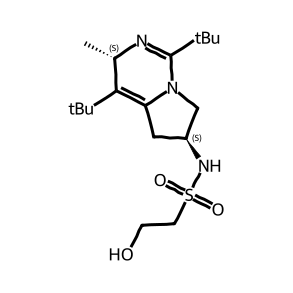 C[C@@H]1N=C(C(C)(C)C)N2C[C@@H](NS(=O)(=O)CCO)CC2=C1C(C)(C)C